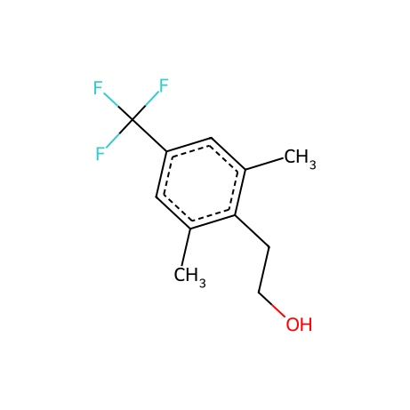 Cc1cc(C(F)(F)F)cc(C)c1CCO